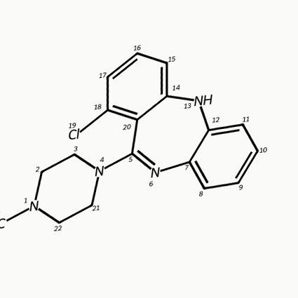 CN1CCN(C2=Nc3ccccc3Nc3cccc(Cl)c32)CC1